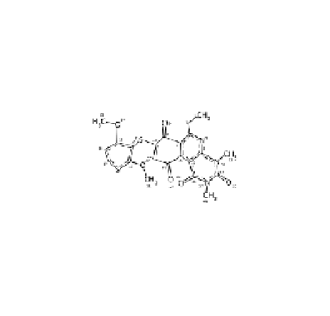 CCc1nc2c(c3c1C(=O)C(Sc1c(OC)cccc1OC)=CC3=O)c(=O)n(C)c(=O)n2C